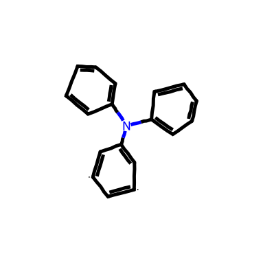 [c]1c[c]cc(N(c2ccccc2)c2ccccc2)c1